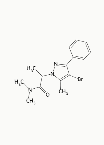 Cc1c(Br)c(-c2ccccc2)nn1C(C)C(=O)N(C)C